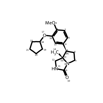 COc1ccc([C@H]2CCN3C(=O)NC[C@]23C)cc1OC1CCCC1